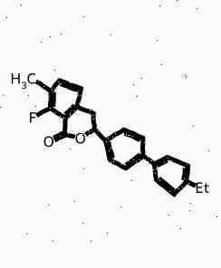 CCc1ccc(-c2ccc(C3Cc4ccc(C)c(F)c4C(=O)O3)cc2)cc1